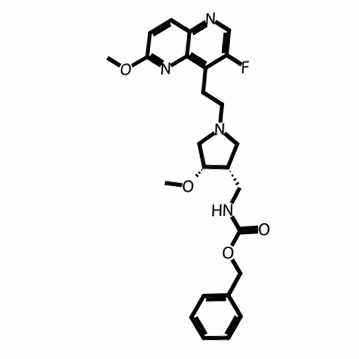 COc1ccc2ncc(F)c(CCN3C[C@H](CNC(=O)OCc4ccccc4)[C@H](OC)C3)c2n1